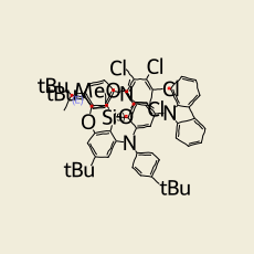 COc1c(Cl)c(Cl)c(Cl)c(Cl)c1O[Si@]12C(C)=C(/C=C(\C)C(C)(C)C)Oc3cc(C(C)(C)C)cc(c31)N(c1ccc(C(C)(C)C)cc1)c1cc(-n3c4ccccc4c4ccccc43)cc(N(C)c3ccc(C(C)(C)C)cc3)c12